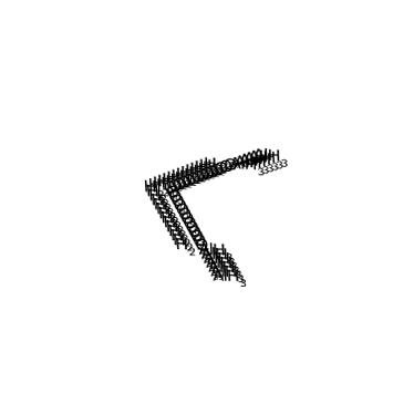 O.O.O.O.O.O.O.O.O.O.O.O.O.O.O.O.O.O.O.O.O.O.O.O.O.O.O.[AlH3].[AlH3].[AlH3].[AlH3].[AlH3].[AlH3].[AlH3].[AlH3].[AlH3].[AlH3].[AlH3].[AlH3].[AlH3]